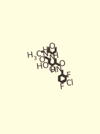 CCN1C(=O)c2c(O)c(=O)c(C(=O)NCc3ccc(F)c(Cl)c3F)cn2[C@H]2CCOC[C@H]21